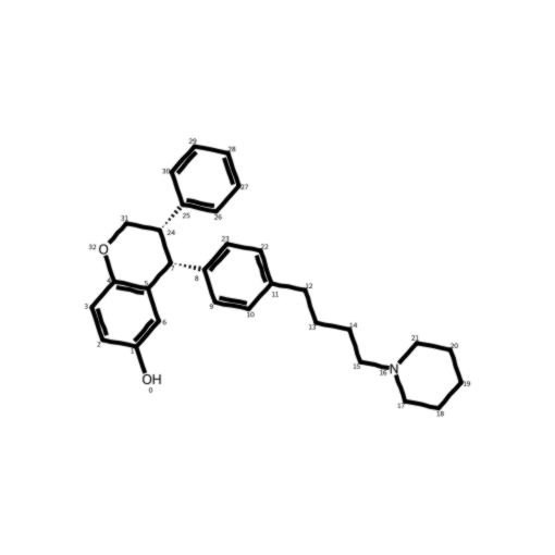 Oc1ccc2c(c1)[C@@H](c1ccc(CCCCN3CCCCC3)cc1)[C@@H](c1ccccc1)CO2